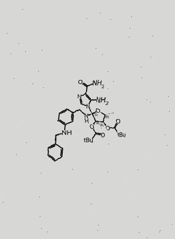 C[C@H]1O[C@@](NCc2cccc(NCc3ccccc3)c2)(n2cnc(C(N)=O)c2N)[C@H](OC(=O)C(C)(C)C)[C@@H]1OC(=O)C(C)(C)C